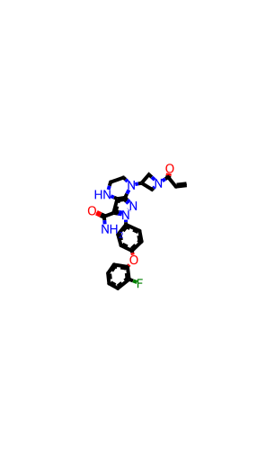 C=CC(=O)N1CC(N2CCNc3c2nn(-c2ccc(Oc4ccccc4F)cc2)c3C(N)=O)C1